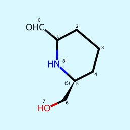 O=CC1CCC[C@@H](CO)N1